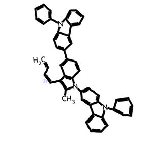 C=C/C=C\c1c(C)n(-c2ccc3c(c2)c2ccccc2n3-c2ccccc2)c2ccc(-c3ccc4c(c3)c3ccccc3n4-c3ccccc3)cc12